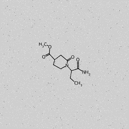 CCC(C(N)=O)N1CCC(C(=O)OC)CC1=O